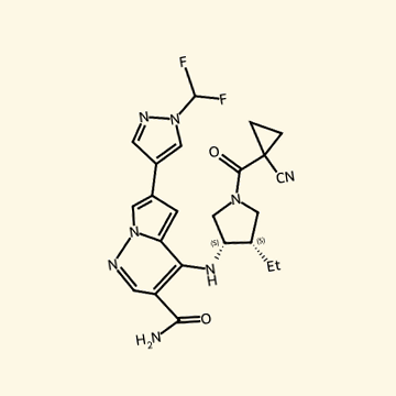 CC[C@H]1CN(C(=O)C2(C#N)CC2)C[C@H]1Nc1c(C(N)=O)cnn2cc(-c3cnn(C(F)F)c3)cc12